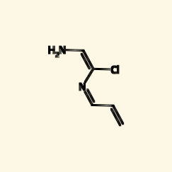 C=C/C=N\C(Cl)=C/N